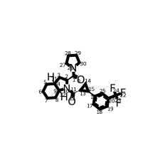 O=C([C@@H]1C[C@@H]2CCCC[C@@H]2N1C(=O)[C@@H]1C[C@H]1c1cccc(C(F)(F)F)c1)N1CCCC1